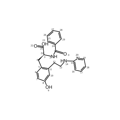 O=C(N[C@@H](Cc1ccc(O)cc1CCNc1ccccn1)C(=O)O)c1ccccc1